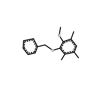 COc1c(C)cc(C)c(C)c1OCc1ccccc1